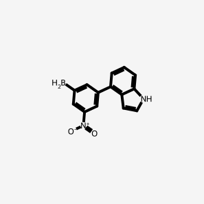 Bc1cc(-c2cccc3[nH]ccc23)cc([N+](=O)[O-])c1